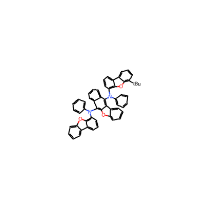 CC(C)(C)c1cccc2c1oc1c(N(c3ccccc3)c3c4ccccc4c(N(c4ccccc4)c4cccc5c4oc4ccccc45)c4oc5ccccc5c34)cccc12